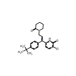 CC(C)(C)c1ccc(/C(=C\CN2CCCCC2=O)c2ccc(Cl)c(=O)[nH]2)cc1